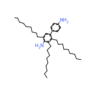 CCCCCCCCCc1cc(-c2ccc(N)cc2)c(CCCCCCCCC)c(CCCCCCCCC)c1N